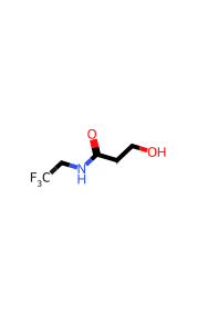 O=C([CH]CO)NCC(F)(F)F